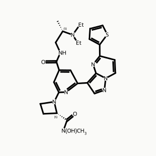 CCN(CC)[C@@H](C)CNC(=O)c1cc(-c2cnn3ccc(-c4cccs4)nc23)nc(N2CC[C@H]2C(=O)N(C)O)c1